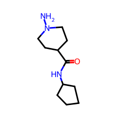 NN1CCC(C(=O)NC2CCCC2)CC1